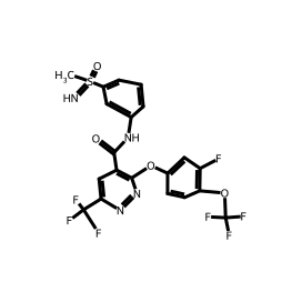 CS(=N)(=O)c1cccc(NC(=O)c2cc(C(F)(F)F)nnc2Oc2ccc(OC(F)(F)F)c(F)c2)c1